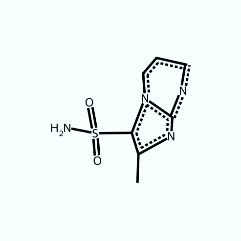 Cc1nc2ncccn2c1S(N)(=O)=O